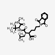 CNC(=O)[C@@H](NC(=O)[C@H](CC(C)C)C(CCCCN1C(=O)c2ccccc2C1=O)C(=O)O)C(C)(C)C